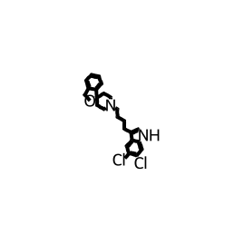 Clc1cc2[nH]cc(CCCCN3CCC4(CC3)OCc3ccccc34)c2cc1Cl